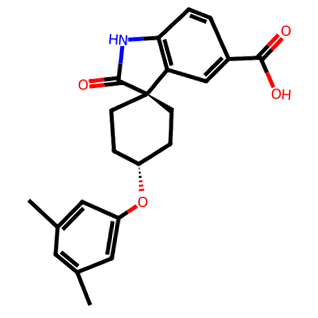 Cc1cc(C)cc(O[C@H]2CC[C@@]3(CC2)C(=O)Nc2ccc(C(=O)O)cc23)c1